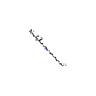 CCCCCCCCC/C=C/CCCC(=O)OC(=O)CCCC